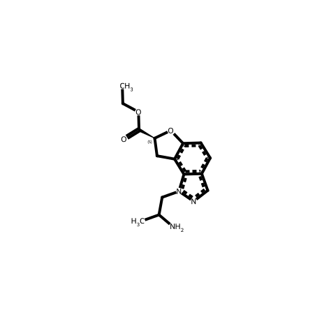 CCOC(=O)[C@@H]1Cc2c(ccc3cnn(CC(C)N)c23)O1